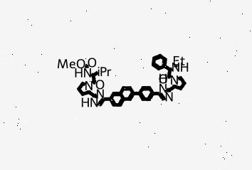 CCNC(C(=O)N1CCCC1c1ncc(-c2ccc(-c3ccc4cc(-c5c[nH]c(C6CCCN6C(=O)C(NC(=O)OC)C(C)C)n5)ccc4c3)cc2)[nH]1)c1ccccc1